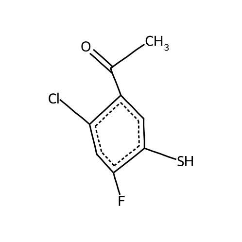 CC(=O)c1cc(S)c(F)cc1Cl